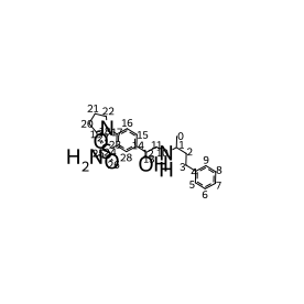 CC(CCc1ccccc1)NCC(O)c1ccc(N2CCCC2)c(S(N)(=O)=O)c1